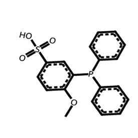 COc1ccc(S(=O)(=O)O)cc1P(c1ccccc1)c1ccccc1